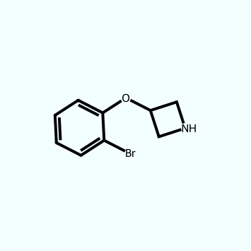 Brc1ccccc1OC1CNC1